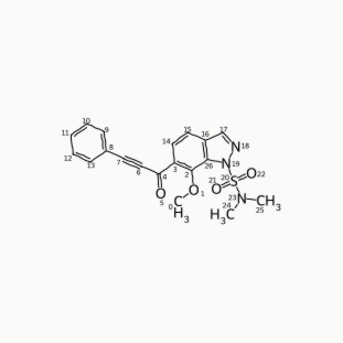 COc1c(C(=O)C#Cc2ccccc2)ccc2cnn(S(=O)(=O)N(C)C)c12